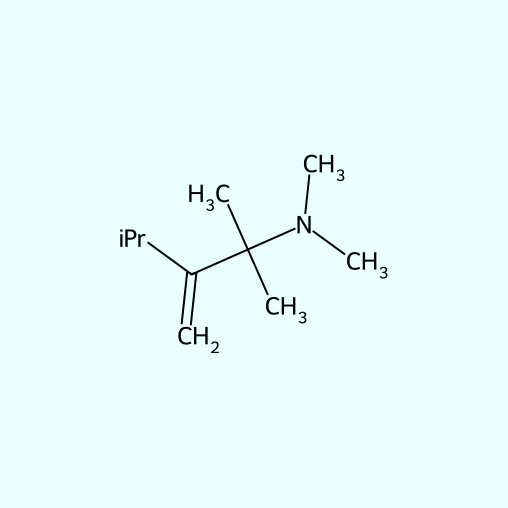 C=C(C(C)C)C(C)(C)N(C)C